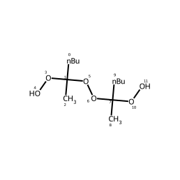 CCCCC(C)(OO)OOC(C)(CCCC)OO